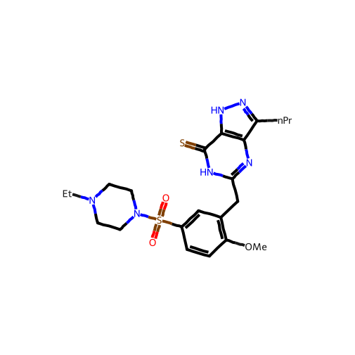 CCCc1n[nH]c2c(=S)[nH]c(Cc3cc(S(=O)(=O)N4CCN(CC)CC4)ccc3OC)nc12